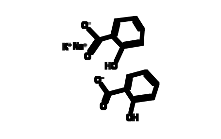 O=C([O-])c1ccccc1O.O=C([O-])c1ccccc1O.[K+].[Na+]